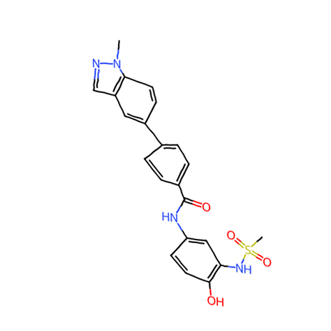 Cn1ncc2cc(-c3ccc(C(=O)Nc4ccc(O)c(NS(C)(=O)=O)c4)cc3)ccc21